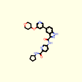 O=C(NC1CCCC1)c1ccc(NC(=O)c2n[nH]c3ccc(-c4cncc(OC5CCOCC5)c4)cc23)cn1